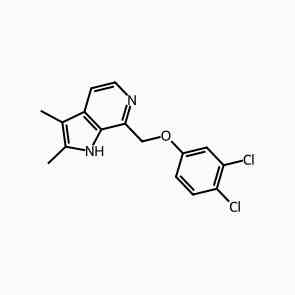 Cc1[nH]c2c(COc3ccc(Cl)c(Cl)c3)nccc2c1C